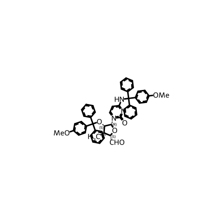 COc1ccc(C(Nc2ccn([C@@H]3O[C@H](C=O)[C@@H](C)[C@@H]3OC(c3ccccc3)(c3ccccc3)c3ccc(OC)cc3)c(=O)n2)(c2ccccc2)c2ccccc2)cc1